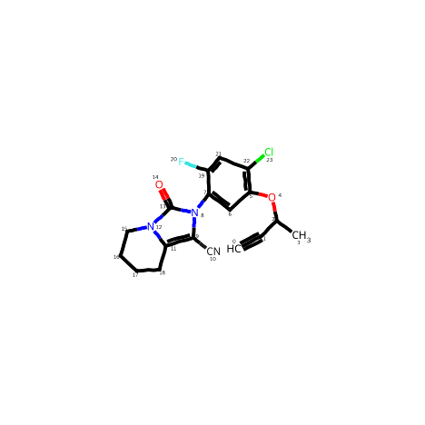 C#CC(C)Oc1cc(-n2c(C#N)c3n(c2=O)CCCC3)c(F)cc1Cl